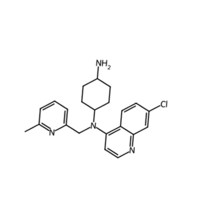 Cc1cccc(CN(c2ccnc3cc(Cl)ccc23)C2CCC(N)CC2)n1